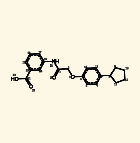 O=C(COc1ccc(C2CCCC2)cc1)Nc1cccc(C(=O)O)c1